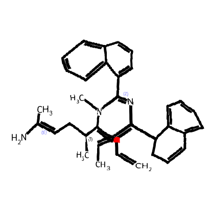 C=CC=C([C@@H](C)C/C=C(\C)N)N(C)/C(=N\C(=C=CC)C1CC=Cc2ccccc21)c1cccc2ccccc12